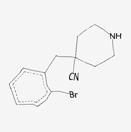 N#CC1(Cc2ccccc2Br)CCNCC1